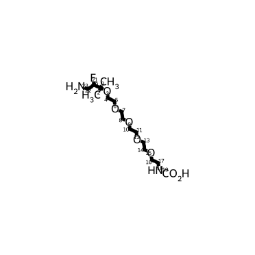 CC(C)(OCCOCCOCCOCCOCCNC(=O)O)C(F)CN